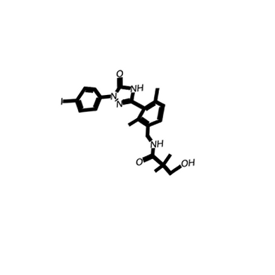 Cc1ccc(CNC(=O)C(C)(C)CO)c(C)c1-c1nn(-c2ccc(I)cc2)c(=O)[nH]1